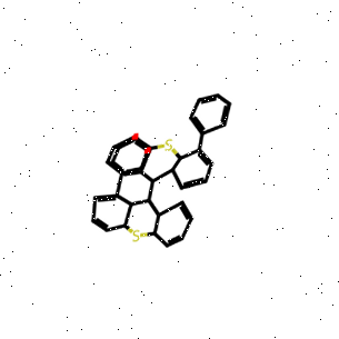 C1=CCCC(C2=CC=CC3SC4C=CC=CC4C(C4C5=CCCC=C5SC5C(c6ccccc6)=CC=CC54)C23)=C1